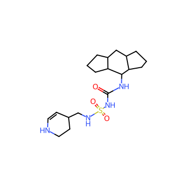 O=C(NC1C2CCCC2CC2CCCC21)NS(=O)(=O)NCC1C=CNCC1